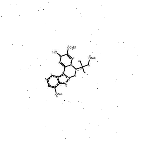 CCOC(=O)C1=CN2C(=CC1O)c1c3cccc(OC)c3nn1CC2C(C)(C)COC